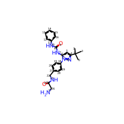 CC(C)(C)c1cc(NC(=O)Nc2ccccc2)n(-c2ccc(CNC(=O)CN)cc2)n1